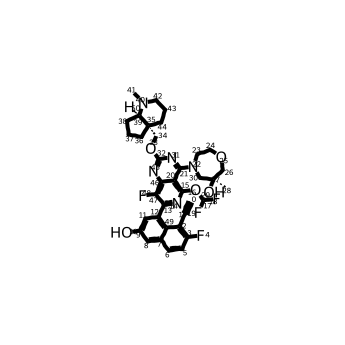 C#Cc1c(F)ccc2cc(O)cc(-c3nc(OC(F)F)c4c(N5CCOC[C@@](C)(O)C5)nc(OC[C@]56CCC[C@H]5N(C)CCC6)nc4c3F)c12